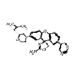 CC(C)C[C@@H]1CN(c2ccc3c(c2)[C@]2(COC(N)=N2)c2cc(-c4cncnc4)ccc2O3)CCO1